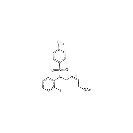 CC(=O)OC/C=C\CN(c1ccccc1I)S(=O)(=O)c1ccc(C)cc1